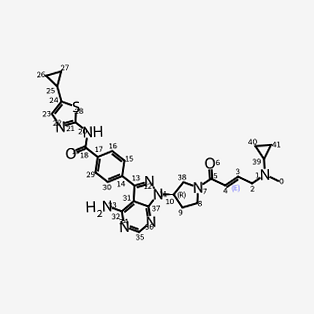 CN(C/C=C/C(=O)N1CC[C@@H](n2nc(-c3ccc(C(=O)Nc4ncc(C5CC5)s4)cc3)c3c(N)ncnc32)C1)C1CC1